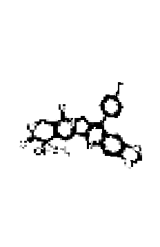 B[C@@]1(O)C(=O)OCc2c1cc1n(c2=O)Cc2c-1nc1cc3c(cc1c2-c1ccc(F)cc1)OCO3